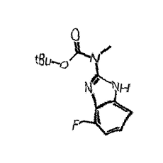 CN(C(=O)OC(C)(C)C)c1nc2c(F)cccc2[nH]1